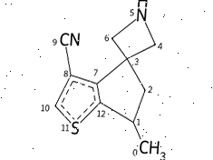 CC1CC2(CNC2)c2c(C#N)csc21